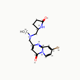 O=C1CCC(CN(Cc2cc(=O)n3ccc(Br)cc3n2)C(=O)O)N1